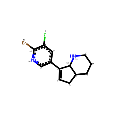 Clc1cc(C2=CCC3CCCNC23)cnc1Br